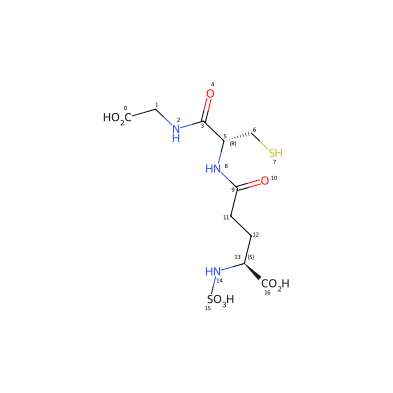 O=C(O)CNC(=O)[C@H](CS)NC(=O)CC[C@H](NS(=O)(=O)O)C(=O)O